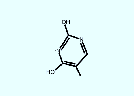 CC1=C(O)[N+]=C(O)N=C1